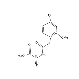 COC(=O)[C@@H](NC(=O)Cc1ccc(Cl)cc1OC)C(C)C